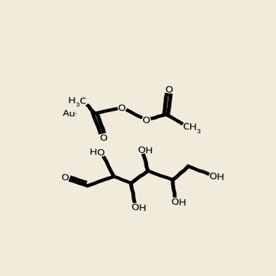 CC(=O)OOC(C)=O.O=CC(O)C(O)C(O)C(O)CO.[Au]